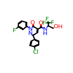 O=C(NC(CO)C(F)(F)F)c1cc(-c2ccc(Cl)cc2)nn(-c2cccc(F)c2)c1=O